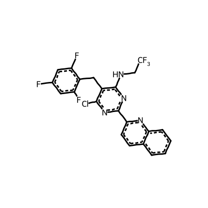 Fc1cc(F)c(Cc2c(Cl)nc(-c3ccc4ccccc4n3)nc2NCC(F)(F)F)c(F)c1